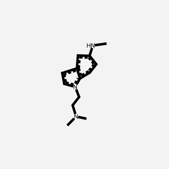 CNc1ccc2c(ccn2CCN(C)C)c1